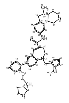 C1CCOC1.CCOc1ccccc1-c1ccc2c(c1)C=C(C(=O)Nc1ccc(CN(C)C3CCOCC3)cc1)CCN2Cc1cccn1C